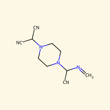 C=NC(C#N)N1CCN(C(C#N)C#N)CC1